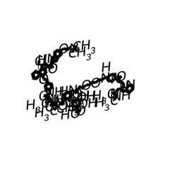 CNN(C)Cc1cc2cccnc2n1CCC(=O)N1CCC(NCCOCCOCCC(=O)Nc2ccc(C(=O)N[C@H](C(=O)N[C@@H](C)C(=O)Nc3ccc(COc4cc5c(c6ccccc46)[C@H](CCl)CN5C(=O)c4cc5cc(OCCN(C)C)ccc5[nH]4)cc3)C(C)C)c(O[C@@H]3O[C@H](C(=O)O)[C@@H](O)[C@H](O)[C@H]3O)c2)CC1